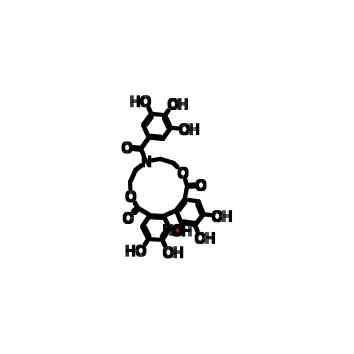 O=C1OCCN(C(=O)c2cc(O)c(O)c(O)c2)CCOC(=O)c2cc(O)c(O)c(O)c2-c2c1cc(O)c(O)c2O